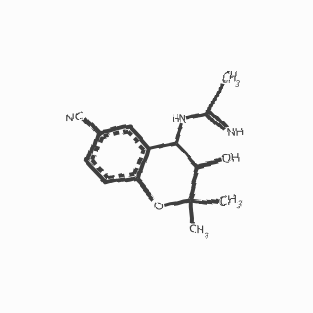 CC(=N)NC1c2cc(C#N)ccc2OC(C)(C)C1O